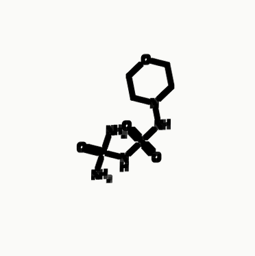 NP(N)(=O)NS(=O)(=O)NN1CCOCC1